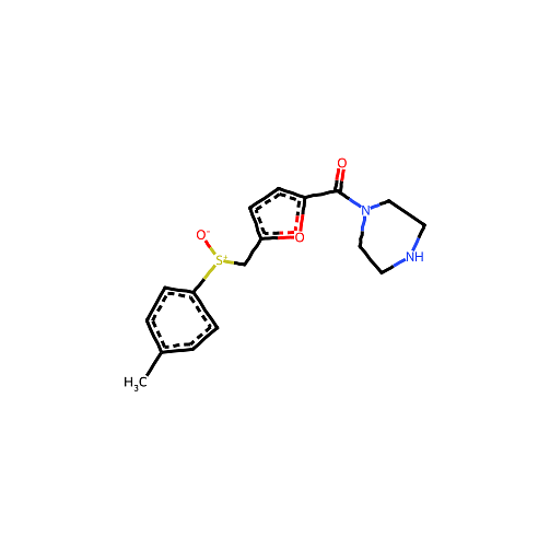 Cc1ccc([S+]([O-])Cc2ccc(C(=O)N3CCNCC3)o2)cc1